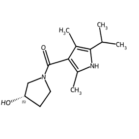 Cc1[nH]c(C(C)C)c(C)c1C(=O)N1CC[C@H](O)C1